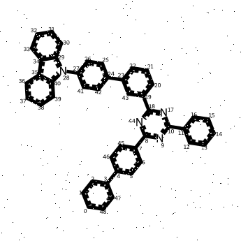 c1ccc(-c2ccc(-c3nc(-c4ccccc4)nc(-c4cccc(-c5ccc(-n6c7ccccc7c7ccccc76)cc5)c4)n3)cc2)cc1